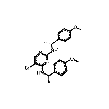 COc1ccc([C@@H](C)Nc2ncc(Br)c(N[C@H](C)c3ccc(OC)cc3)n2)cc1